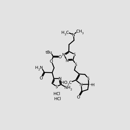 CC(C)(C)C(=O)OCC(C(N)=O)c1csc(N)n1.CN(C)CCc1nnc(SCC2=C(C(=O)O)N3C(=O)C[C@@H]3SC2)s1.Cl.Cl